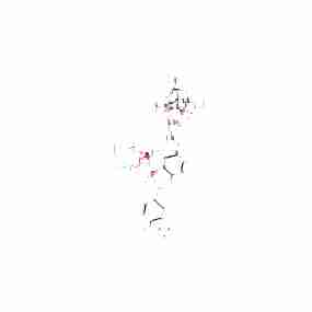 COc1ccc(CSc2ccc(C[C@@H](C)B3O[C@@H]4C[C@@H]5C[C@@H](C5(C)C)[C@]4(C)O3)c(OC(=O)OC(C)(C)C)c2C(=O)OC(C)(C)C)cc1